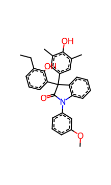 CCc1cccc(C2(c3cc(C)c(O)c(C)c3)C(=O)N(c3cccc(OC)c3)c3ccccc32)c1O